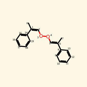 CC(=COOC=C(C)c1ccccc1)c1ccccc1